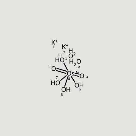 O.O.[K+].[K+].[O]=[Os-2](=[O])([OH])([OH])([OH])[OH]